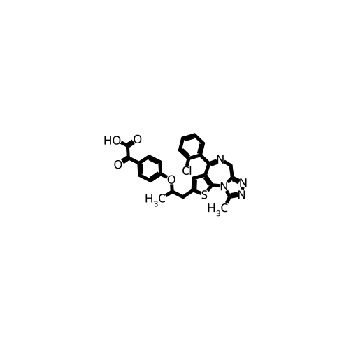 Cc1nnc2n1-c1sc(CC(C)Oc3ccc(C(=O)C(=O)O)cc3)cc1C(c1ccccc1Cl)=NC2